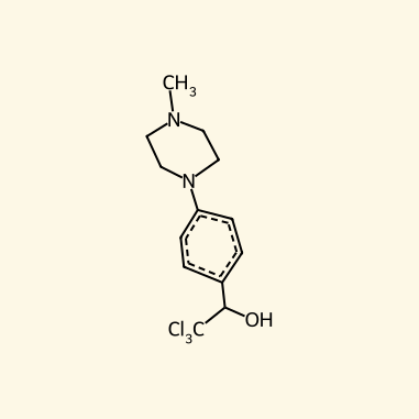 CN1CCN(c2ccc(C(O)C(Cl)(Cl)Cl)cc2)CC1